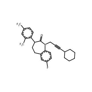 O=C1C(c2ccc(C(F)(F)F)cc2C(F)(F)F)CCc2cc(F)ccc2N1CC#CC1CCCCC1